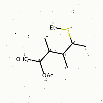 CCSC(C)C(C)C(C)C(C=O)OC(C)=O